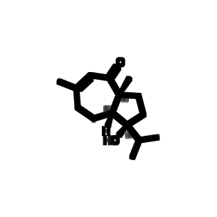 CC1=CC(=O)[C@]2(C)CC[C@](O)(C(C)C)[C@@H]2[CH]C1